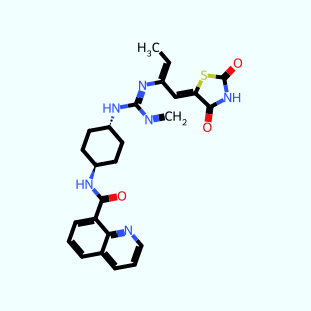 C=N\C(=N/C(=C\C)/C=C1\SC(=O)NC1=O)N[C@H]1CC[C@H](NC(=O)c2cccc3cccnc23)CC1